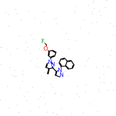 C=C1C=CN(c2cccc(OCF)c2)N=C1c1ccnn1-c1cccc2ccccc12